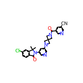 CC1(C)c2cc(Cl)ccc2C(=O)N1c1cncc(N2CC3(CN(C(=O)c4cncc(C#N)c4)C3)C2)c1